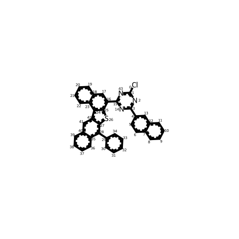 Clc1nc(-c2ccc3ccccc3c2)nc(-c2cc3ccccc3c3c2sc2c(-c4ccccc4)c4ccccc4cc23)n1